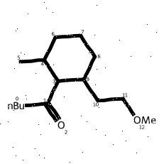 CCCCC(=O)C1C(C)CCCC1CCOC